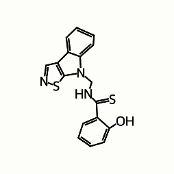 Oc1ccccc1C(=S)NCn1c2ccccc2c2cnsc21